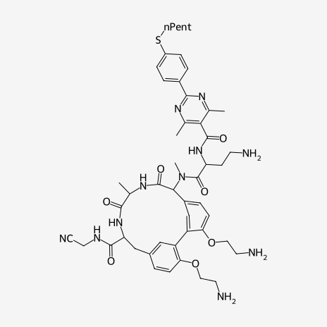 CCCCCSc1ccc(-c2nc(C)c(C(=O)NC(CCN)C(=O)N(C)C3C(=O)NC(C)C(=O)NC(C(=O)NCC#N)Cc4ccc(OCCN)c(c4)-c4cc3ccc4OCCN)c(C)n2)cc1